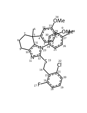 COc1ccc(C2(C)CCCc3nc(SCc4c(F)cccc4Cl)n(-c4ccc(F)cc4)c32)cc1OC